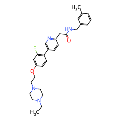 CCN1CCN(CCOc2ccc(-c3ccc(CC(=O)NCc4cccc(C)c4)nc3)c(F)c2)CC1